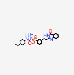 CCC1CCC(NC(=O)NS(=O)(=O)c2cccc(CCc3nc4ccccc4c(=O)[nH]3)c2)CC1